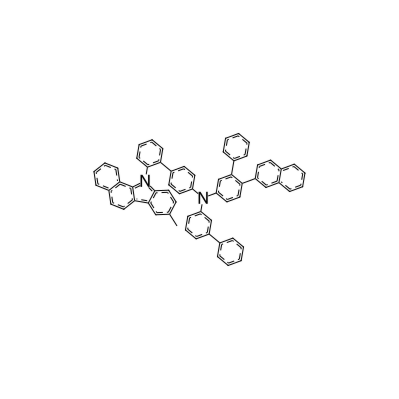 Cc1ccc2c(c1)c1ccc3ccccc3c1n2-c1ccccc1-c1ccc(N(c2cccc(-c3ccccc3)c2)c2ccc(-c3ccc4ccccc4c3)c(-c3ccccc3)c2)cc1